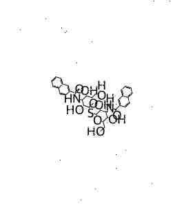 O=C(NC1[C@@H](O)C(CO)O[C@@H](S[C@@H]2OC(CO)[C@H](O)C(NC(=O)c3ccc4ccccc4c3)[C@@H]2O)[C@@H]1O)c1ccc2ccccc2c1